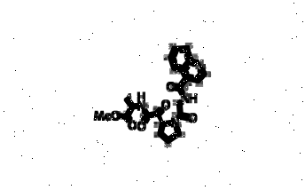 COC(=O)C(C)NC(=O)C(=O)[C@@H]1CCCN1C(=O)CNC(=O)c1ccnc2ccccc12